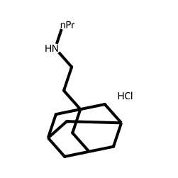 CCCNCCC12CC3CC(CC(C3)C1)C2.Cl